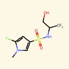 Cn1cc(S(=O)(=O)NC(CO)C(F)(F)F)cc1F